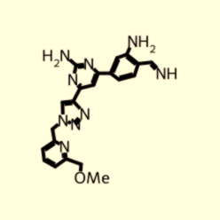 COCc1cccc(Cn2cc(-c3cc(-c4ccc(C=N)c(N)c4)nc(N)n3)nn2)n1